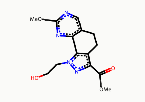 COC(=O)c1nn(CCO)c2c1CCc1cnc(OC)nc1-2